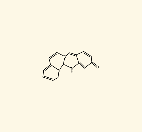 O=C1C=CC2=CN3C=CC4=CC=CCN4C3NC2=C1